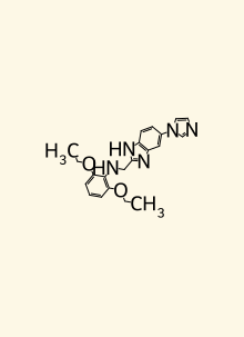 CCOc1cccc(OCC)c1NCc1nc2cc(-n3ccnc3)ccc2[nH]1